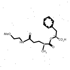 COCCNC(=O)CCN(C)C(=O)O[C@@H](Cc1ccccc1)C(=O)O